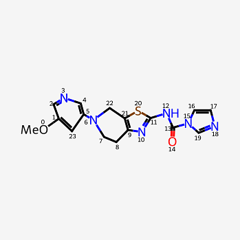 COc1cncc(N2CCc3nc(NC(=O)n4ccnc4)sc3C2)c1